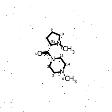 CN1CCN(C(=O)[C@@H]2CCCN2C)CC1